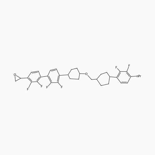 CCCc1ccc(C2CCC(COC3CCC(c4ccc(-c5ccc(C6CO6)c(F)c5F)c(F)c4F)CC3)CC2)c(F)c1F